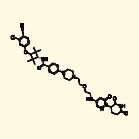 CC1(C)[C@H](NC(=O)c2ccc(N3CCN(CCOCCNc4cnn(C5CCC(=O)NC5=O)c(=O)c4)CC3)cc2)C(C)(C)[C@H]1Oc1ccc(C#N)c(Cl)c1